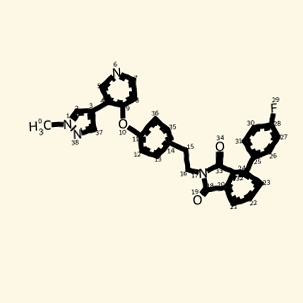 Cn1cc(-c2cnccc2Oc2ccc(CCN3C(=O)c4cccc(-c5ccc(F)cc5)c4C3=O)cc2)cn1